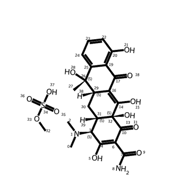 CN(C)[C@@H]1C(O)=C(C(N)=O)C(=O)[C@@]2(O)C(O)=C3C(=O)c4c(O)cccc4[C@@](C)(O)[C@H]3C[C@@H]12.COS(=O)(=O)O